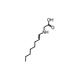 CCCCCCC=CNCC(=O)O